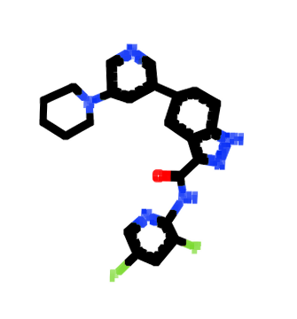 O=C(Nc1ncc(F)cc1F)c1n[nH]c2ccc(-c3cncc(N4CCCCC4)c3)cc12